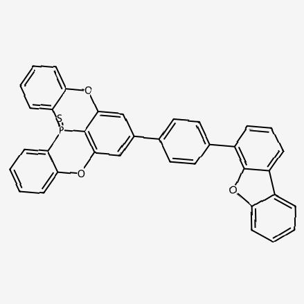 S=P12c3ccccc3Oc3cc(-c4ccc(-c5cccc6c5oc5ccccc56)cc4)cc(c31)Oc1ccccc12